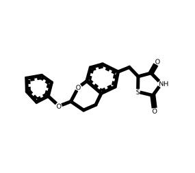 O=C1NC(=O)C(Cc2ccc3c(c2)CCC(Oc2ccccc2)O3)S1